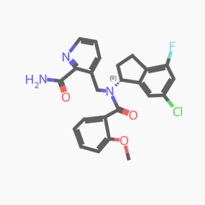 COc1ccccc1C(=O)N(Cc1cccnc1C(N)=O)[C@@H]1CCc2c(F)cc(Cl)cc21